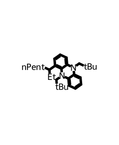 CCCCCC(CC)c1cccc2c1N(CC(C)(C)C)c1ccccc1N2CC(C)(C)C